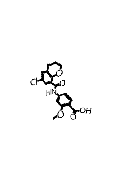 COc1cc(NC(=O)c2cc(Cl)cc3c2OCCC3)ccc1C(=O)O